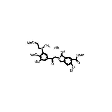 Br.CCOc1cc2c(cc1C(=O)NC)C(=N)N(CC(=O)c1cc(N(C)CCOC)c(OC)c(C(C)(C)C)c1)C2